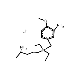 CC[N+](CC)(CCCC(C)N)Cc1ccc(OC)c(N)c1.[Cl-]